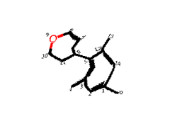 Cc1cc(C)c(C2CCOCC2)c(C)c1